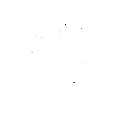 COc1ccc2nc3c(nc2c1)O[C@H]1CN(C(=O)[C@H](C(C)(C)C)NC(=O)O[C@@H]2[C@H]4CC[C@H](C4)[C@H]2CCCCC3)[C@H](C(C)=O)[C@@H]1CF